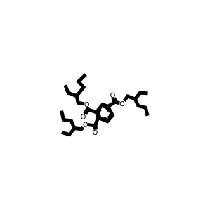 CCCC(CC)COC(=O)c1ccc(C(=O)OCC(CC)CCC)c(C(=O)OCC(CC)CCC)c1